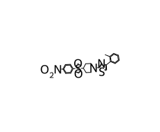 Cc1ccccc1-c1csc(N2CCC(S(=O)(=O)c3ccc([N+](=O)[O-])cc3)CC2)n1